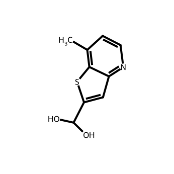 Cc1ccnc2cc(C(O)O)sc12